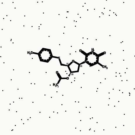 CC(=O)O[C@H]1C[C@H](n2cc(C)c(=O)[nH]c2=O)O[C@@H]1CSc1ccc(C)cc1